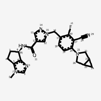 Cn1cnc2c1CC[C@H]2NC(=O)c1cnn(Cc2ccc(N3CC4CC4C3)c(C#N)c2F)c1